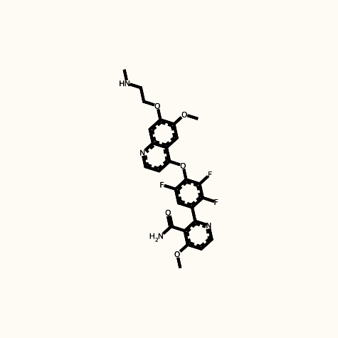 CNCCOc1cc2nccc(Oc3c(F)cc(-c4nccc(OC)c4C(N)=O)c(F)c3F)c2cc1OC